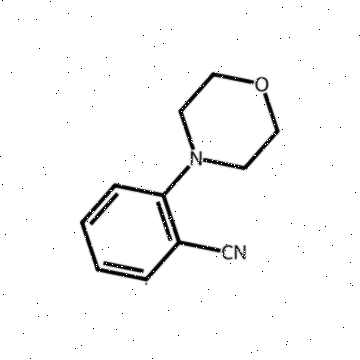 N#Cc1[c]cccc1N1CCOCC1